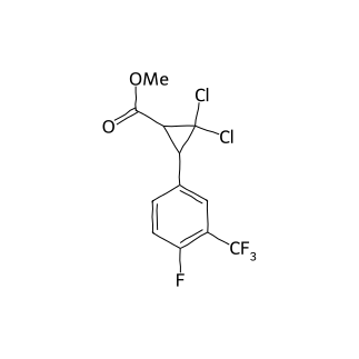 COC(=O)C1C(c2ccc(F)c(C(F)(F)F)c2)C1(Cl)Cl